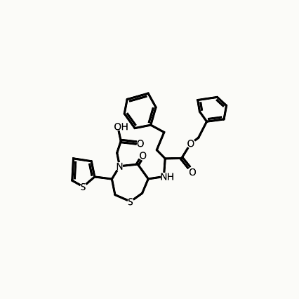 O=C(O)CN1C(=O)C(NC(CCc2ccccc2)C(=O)OCc2ccccc2)CSCC1c1cccs1